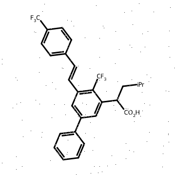 CC(C)CC(C(=O)O)c1cc(-c2ccccc2)cc(C=Cc2ccc(C(F)(F)F)cc2)c1C(F)(F)F